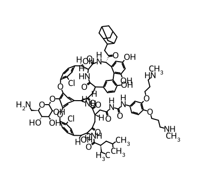 CC[C@H](CC(C)C)C(=O)N[C@H]1C(=O)C[C@@H](CC(=O)NC(=O)Nc2ccc(OCCCNC)c(OCCCNC)c2)C(=O)N[C@H]2C(=O)C[C@H]3C(=O)N[C@H](C(=O)N[C@H](C(=O)CC4C5CC6CC(C5)CC4C6)c4cc(O)cc(O)c4-c4cc3ccc4O)[C@H](O)c3ccc(c(Cl)c3)Oc3cc2cc(c3O[C@@H]2O[C@H](CN)[C@@H](O)[C@H](O)[C@H]2O)Oc2ccc(cc2Cl)[C@H]1O